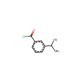 CCCCC(C#N)c1cccc(C(=O)Cl)c1